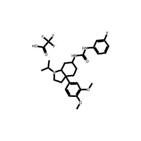 COc1ccc(C23CCC(NC(=O)Nc4cccc(F)c4)CC2N(C(C)C)CC3)cc1OC.O=C(O)C(F)(F)F